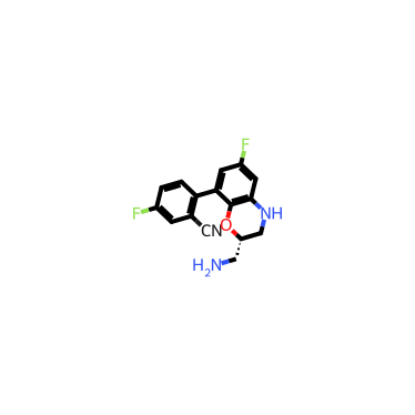 N#Cc1cc(F)ccc1-c1cc(F)cc2c1O[C@@H](CN)CN2